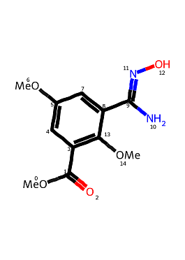 COC(=O)c1cc(OC)cc(/C(N)=N/O)c1OC